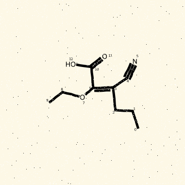 CCC/C(C#N)=C(\OCC)C(=O)O